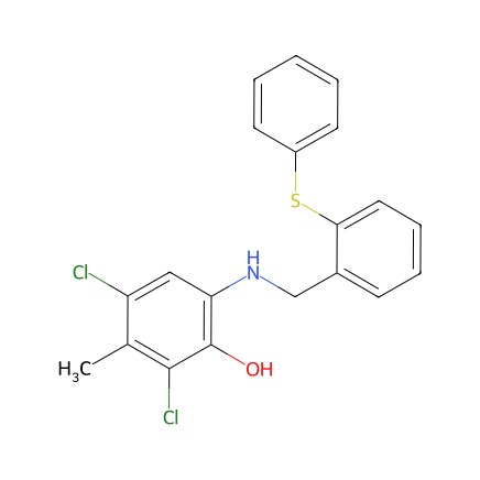 Cc1c(Cl)cc(NCc2ccccc2Sc2ccccc2)c(O)c1Cl